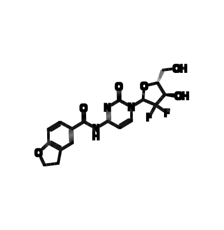 O=C(Nc1ccn(C2O[C@H](CO)[C@@H](O)C2(F)F)c(=O)n1)c1ccc2c(c1)CCO2